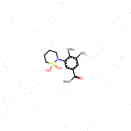 COC(=O)c1cc(N2CCCCS2(O)O)c(OC)c([N+](=O)[O-])c1